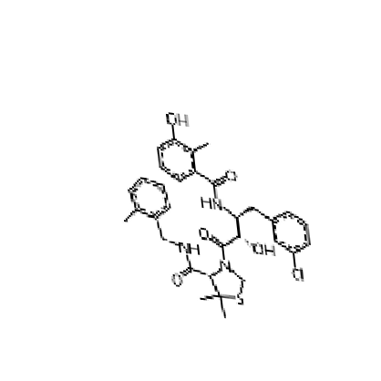 Cc1ccccc1CNC(=O)C1N(C(=O)[C@@H](O)[C@H](Cc2cccc(Cl)c2)NC(=O)c2cccc(O)c2C)CSC1(C)C